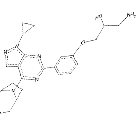 NCC(O)COc1cccc(-c2nc(N3C4CCC3COC4)c3cnn(C4CC4)c3n2)c1